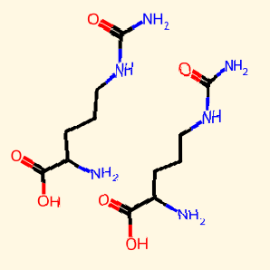 NC(=O)NCCCC(N)C(=O)O.NC(=O)NCCCC(N)C(=O)O